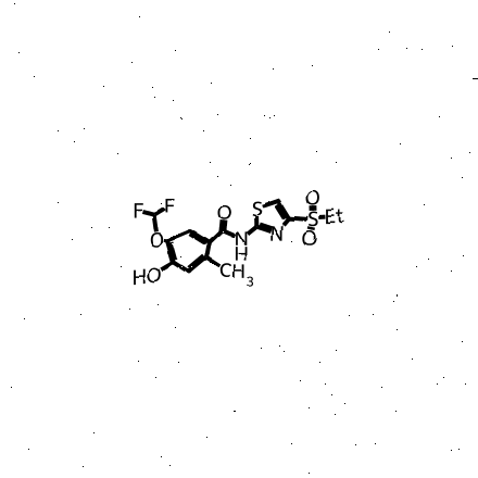 CCS(=O)(=O)c1csc(NC(=O)c2cc(OC(F)F)c(O)cc2C)n1